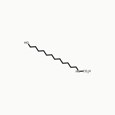 O=C(O)NCCCCCCCCCCCCO